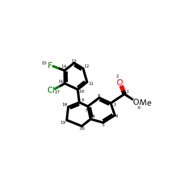 COC(=O)c1ccc2c(c1)C(c1cccc(F)c1Cl)=CCC2